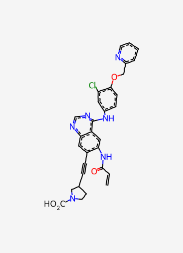 C=CC(=O)Nc1cc2c(Nc3ccc(OCc4ccccn4)c(Cl)c3)ncnc2cc1C#CC1CCN(C(=O)O)C1